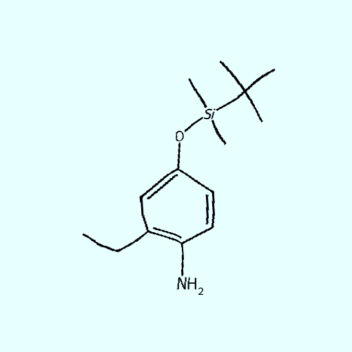 CCc1cc(O[Si](C)(C)C(C)(C)C)ccc1N